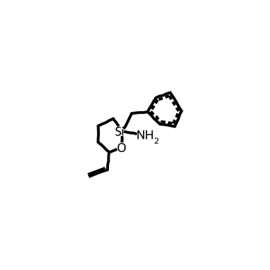 C=CC1CCC[Si](N)(Cc2ccccc2)O1